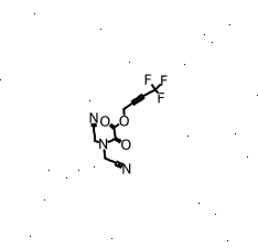 N#CCN(CC#N)C(=O)C(=O)OCC#CC(F)(F)F